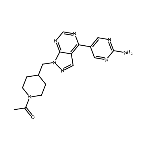 CC(=O)N1CCC(Cn2ncc3c(-c4cnc(N)nc4)ncnc32)CC1